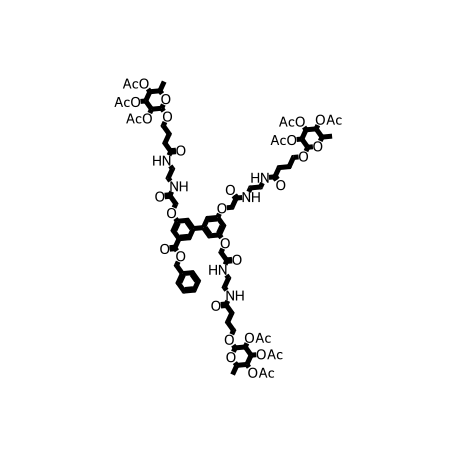 CC(=O)OC1C(C)OC(OCCCC(=O)NCCNC(=O)COc2cc(OCC(=O)NCCNC(=O)CCCOC3OC(C)C(OC(C)=O)C(OC(C)=O)C3OC(C)=O)cc(-c3cc(OCC(=O)NCCNC(=O)CCCOC4OC(C)C(OC(C)=O)C(OC(C)=O)C4OC(C)=O)cc(C(=O)OCc4ccccc4)c3)c2)C(OC(C)=O)C1OC(C)=O